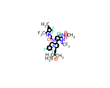 CC1C2C3C(C(F)(F)F)=NN(CC(=O)NC(Cc4cc(F)cc(F)c4)c4nc(C#CC(C)(C)[S+](C)[O-])ccc4-c4ccc(Cl)c5c(NS(C)(=O)=O)nn(CC(F)(F)F)c45)C3C(F)(F)C12